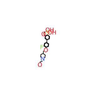 O=CCN1CCC(COc2ccc(-c3ccc4c(c3)OCS4(O)O)cc2F)CC1